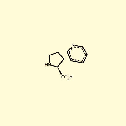 O=C(O)[C@@H]1CCCN1.c1ccncc1